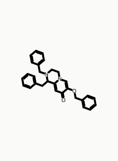 O=c1cc2n(cc1OCc1ccccc1)CCN(Cc1ccccc1)C2Cc1ccccc1